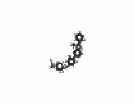 CN(C)C1CCN(Cc2ccc(-c3ccc4nc(-c5ccccc5)n(C)c4c3)cc2)CC1